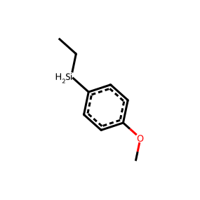 CC[SiH2]c1ccc(OC)cc1